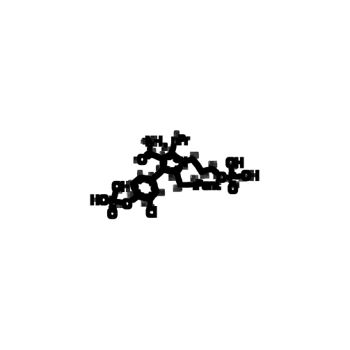 CCCc1c(C(N)=O)c(-c2ccc(OP(=O)(O)O)c(Cl)c2)c(CC(C)CCC)n1CCCOP(=O)(O)O